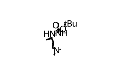 CC(CCN(C)C)NNC(=O)OC(C)(C)C